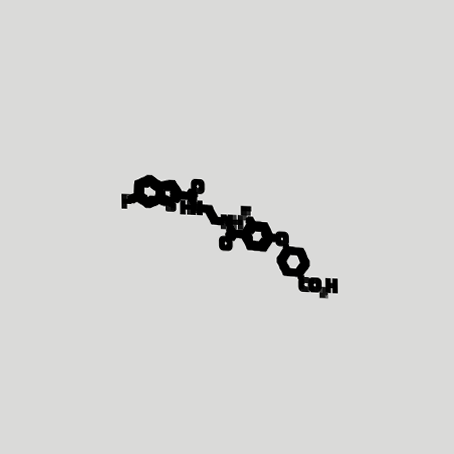 O=C(NCCNC(=O)c1ccc(O[C@H]2CC[C@@H](C(=O)O)CC2)cc1F)c1cc2ccc(F)cc2s1